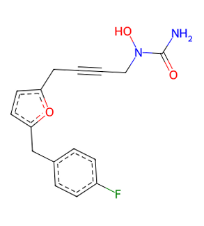 NC(=O)N(O)CC#CCc1ccc(Cc2ccc(F)cc2)o1